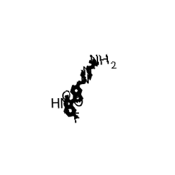 CC(C)(N)CCN1CCN(CCc2ccc3c(c2)CO/C3=C2/C(=O)Nc3ccc(F)cc32)CC1